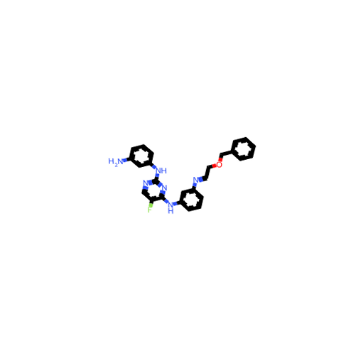 Nc1cccc(Nc2ncc(F)c(Nc3cccc(N=CCOCc4ccccc4)c3)n2)c1